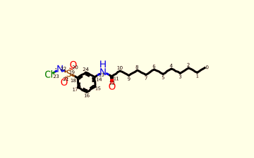 CCCCCCCCCCCC(=O)Nc1cccc(S(=O)(=O)[N]Cl)c1